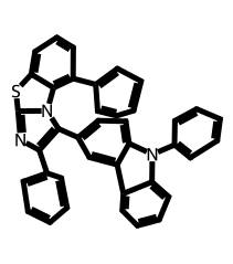 c1ccc(-c2nc3sc4cccc(-c5ccccc5)c4n3c2-c2ccc3c(c2)c2ccccc2n3-c2ccccc2)cc1